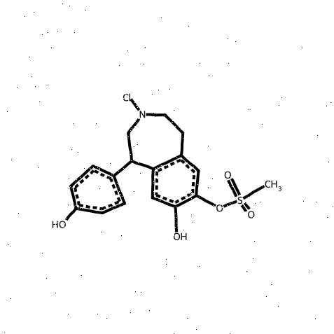 CS(=O)(=O)Oc1cc2c(cc1O)C(c1ccc(O)cc1)CN(Cl)CC2